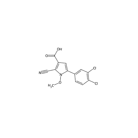 COn1c(-c2ccc(Cl)c(Cl)c2)cc(C(=O)O)c1C#N